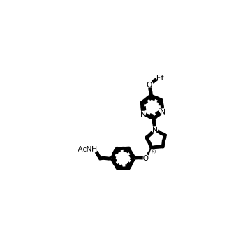 CCOc1cnc(N2CC[C@@H](Oc3ccc(CNC(C)=O)cc3)C2)nc1